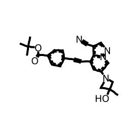 CC1(O)CN(c2cc(C#Cc3ccc(C(=O)OC(C)(C)C)cc3)c3c(C#N)cnn3c2)C1